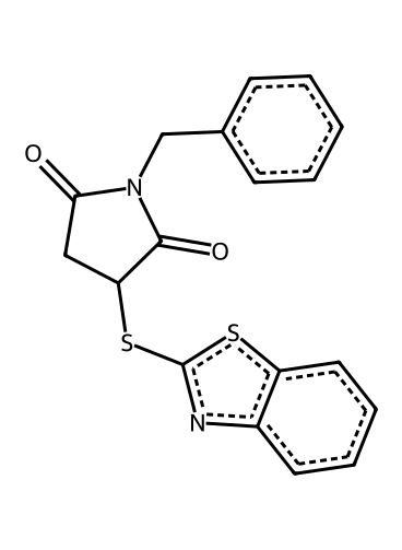 O=C1CC(Sc2nc3ccccc3s2)C(=O)N1Cc1ccccc1